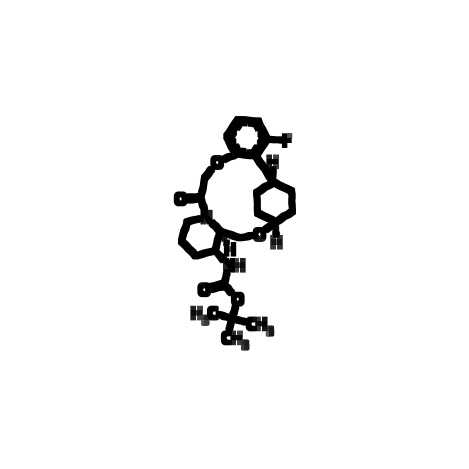 CC(C)(C)OC(=O)N[C@H]1CCCN2C(=O)COc3cccc(F)c3[C@H]3CC[C@H](CC3)OC[C@@H]12